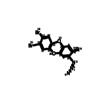 [N-]=[N+]=Nc1cc2c(cc1[125I])Oc1cc(Br)c(Br)cc1O2